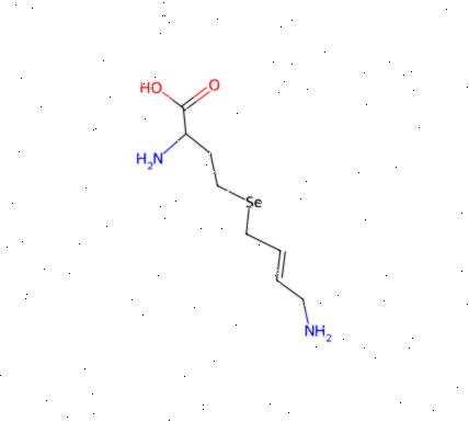 NC/C=C/C[Se]CCC(N)C(=O)O